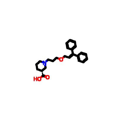 O=C(O)[C@@H]1CCCN(CCCOCC=C(c2ccccc2)c2ccccc2)C1